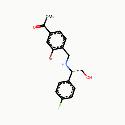 COC(=O)c1ccc(CN[C@H](CO)c2ccc(F)cc2)c(Br)c1